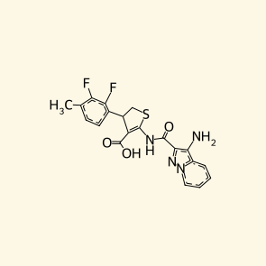 Cc1ccc(C2CSC(NC(=O)c3nn4ccccc4c3N)=C2C(=O)O)c(F)c1F